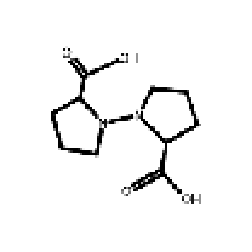 O=C(O)C1CCCN1N1CCC[C@H]1C(=O)O